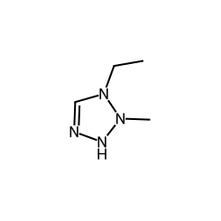 CCN1C=NNN1C